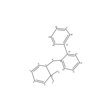 CC1(C)C=CC=CC1Cc1ccccc1-c1ccccc1